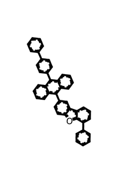 c1ccc(-c2ccc(-c3c4ccccc4c(-c4ccc5oc6c(-c7ccccc7)cccc6c5c4)c4ccccc34)cc2)cc1